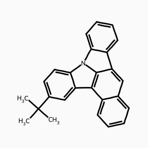 CC(C)(C)c1ccc2c(c1)c1c3ccccc3cc3c4ccccc4n2c31